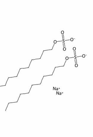 CCCCCCCCCCCOS(=O)(=O)[O-].CCCCCCCCCCCOS(=O)(=O)[O-].[Na+].[Na+]